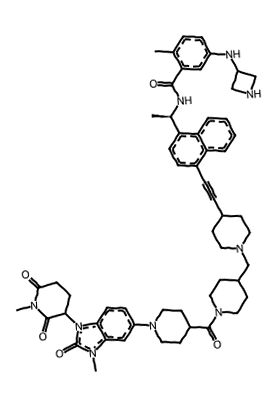 Cc1ccc(NC2CNC2)cc1C(=O)N[C@H](C)c1ccc(C#CC2CCN(CC3CCN(C(=O)C4CCN(c5ccc6c(c5)n(C)c(=O)n6C5CCC(=O)N(C)C5=O)CC4)CC3)CC2)c2ccccc12